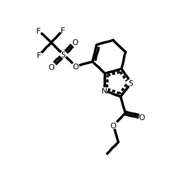 CCOC(=O)c1nc2c(s1)CCC=C2OS(=O)(=O)C(F)(F)F